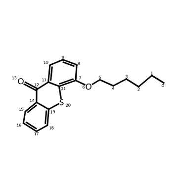 CCCCCCOc1cccc2c(=O)c3ccccc3sc12